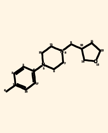 Cc1ccc(N2CCN(CC3CCOC3)CC2)cc1